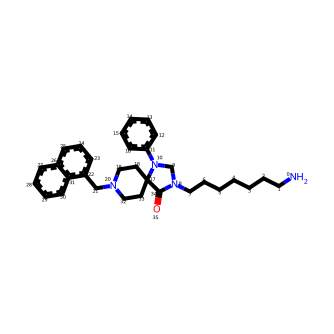 NCCCCCCCN1CN(c2ccccc2)C2(CCN(Cc3cccc4ccccc34)CC2)C1=O